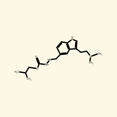 CC(C)COC(=O)NNCc1ccc2[nH]cc(CCN(C)C)c2c1